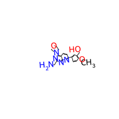 COc1ccc(-c2ccc3c(N4CCOCC4)nc(CN)nc3n2)cc1CO